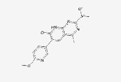 COc1ccc(-c2cc3c(C)nc([S+](C)[O-])nc3[nH]c2=O)cn1